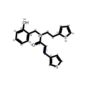 O=C(/C=C/c1ccsc1)N(CCc1cccs1)Cc1ccccc1O